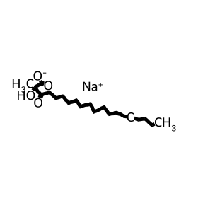 CCCCCCCCCCCCCCCCCC(=O)C(C)(O)C(=O)[O-].[Na+]